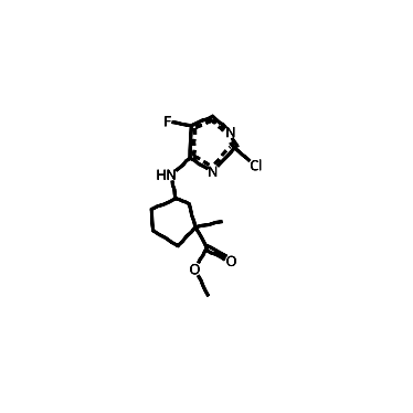 COC(=O)C1(C)CCCC(Nc2nc(Cl)ncc2F)C1